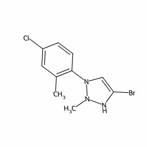 Cc1cc(Cl)ccc1N1C=C(Br)NN1C